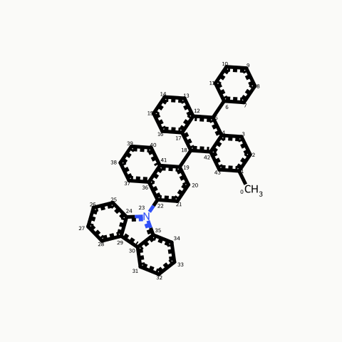 Cc1ccc2c(-c3ccccc3)c3ccccc3c(-c3ccc(-n4c5ccccc5c5ccccc54)c4ccccc34)c2c1